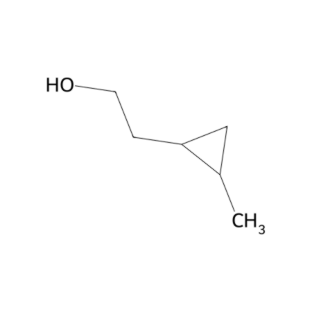 CC1CC1CCO